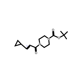 CC(C)(C)OC(=O)N1CCN(C(=O)/C=C/C2CC2)CC1